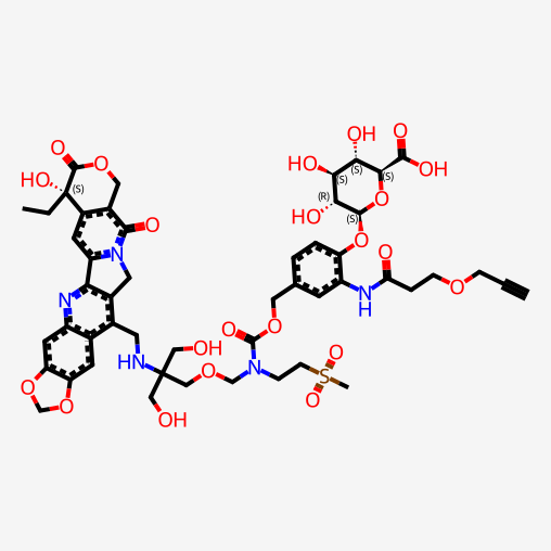 C#CCOCCC(=O)Nc1cc(COC(=O)N(CCS(C)(=O)=O)COCC(CO)(CO)NCc2c3c(nc4cc5c(cc24)OCO5)-c2cc4c(c(=O)n2C3)COC(=O)[C@]4(O)CC)ccc1O[C@@H]1O[C@H](C(=O)O)[C@@H](O)[C@H](O)[C@H]1O